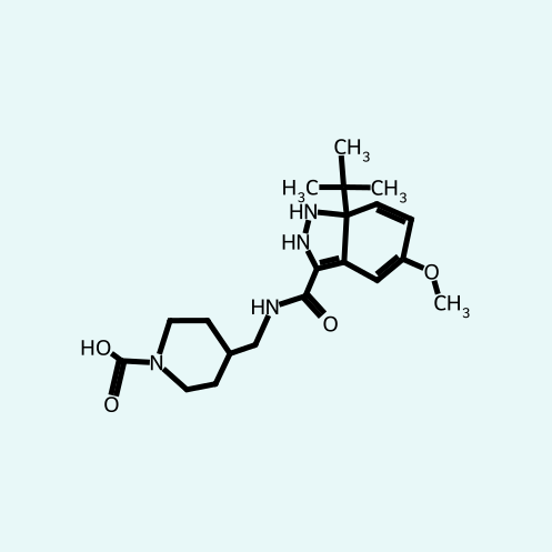 COC1=CC2=C(C(=O)NCC3CCN(C(=O)O)CC3)NNC2(C(C)(C)C)C=C1